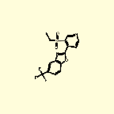 CCS(=O)(=O)c1cnccc1-c1nc2cc(C(F)(F)F)ccc2o1